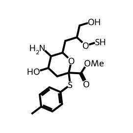 COC(=O)C1(Sc2ccc(C)cc2)CC(O)C(N)C(CC(CO)OS)O1